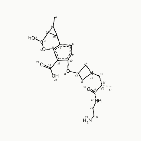 CC1C2B(O)Oc3c(ccc(OC4CN(C[C@H](C)C(=O)NCCN)C4)c3C(=O)O)C12